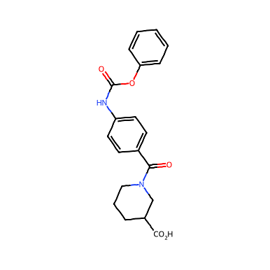 O=C(Nc1ccc(C(=O)N2CCCC(C(=O)O)C2)cc1)Oc1ccccc1